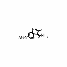 C=C(C)/C(=C(/C)N)c1ccc(NC)cc1F